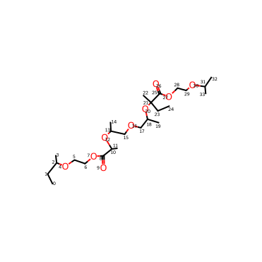 CCC(C)OCCOC(=O)C(C)OC(C)COCC(C)OC(C)(CC)C(=O)OCCOC(C)C